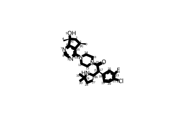 C[C@@H]1C[C@@](C)(O)c2ncnc(N3CCN(C(=O)[C@@H](c4ccc(Cl)c(F)c4)[C@@H]4CCC(C)(C)N4)CC3)c21